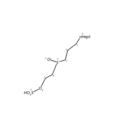 CCCCCCCCCC[S+]([O-])CCOS(=O)(=O)O